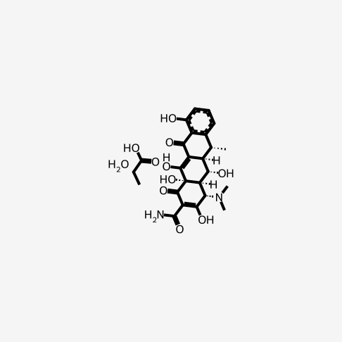 CCC(=O)O.C[C@H]1c2cccc(O)c2C(=O)C2=C(O)[C@]3(O)C(=O)C(C(N)=O)=C(O)[C@@H](N(C)C)[C@@H]3[C@@H](O)[C@@H]21.O